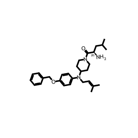 CC(C)=CCN(c1ccc(OCc2ccccc2)cc1)C1CCN(C(=O)[C@H](N)CC(C)C)CC1